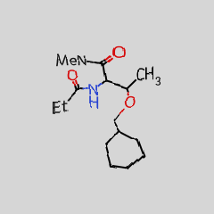 CCC(=O)NC(C(=O)NC)C(C)OCC1CCCCC1